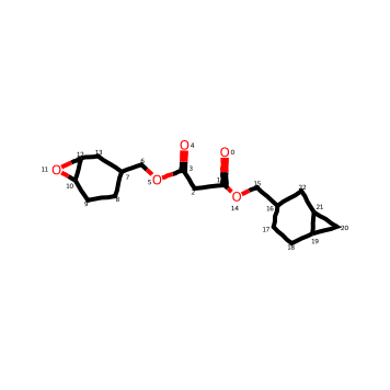 O=C(CC(=O)OCC1CCC2OC2C1)OCC1CCC2CC2C1